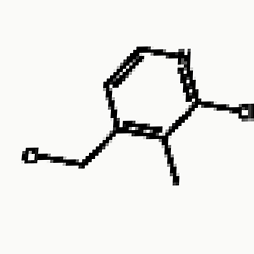 Cc1c(CCl)ccnc1Cl